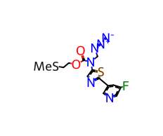 CSCCOC(=O)N(CN=[N+]=[N-])c1cnc(-c2cncc(F)c2)s1